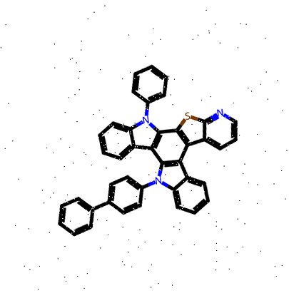 c1ccc(-c2ccc(-n3c4ccccc4c4c5c6cccnc6sc5c5c(c6ccccc6n5-c5ccccc5)c43)cc2)cc1